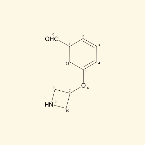 O=Cc1cccc(OC2CNC2)c1